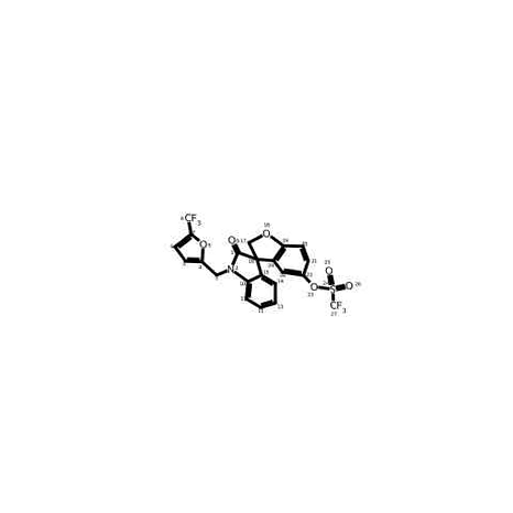 O=C1N(Cc2ccc(C(F)(F)F)o2)c2ccccc2C12COc1ccc(OS(=O)(=O)C(F)(F)F)cc12